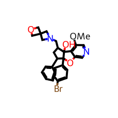 COc1cncc2c1C1(O)C(CN3CC4(COC4)C3)CC(c3ccccc3)C1(c1ccc(Br)cc1)O2